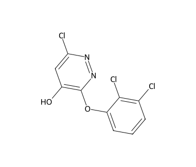 Oc1cc(Cl)nnc1Oc1cccc(Cl)c1Cl